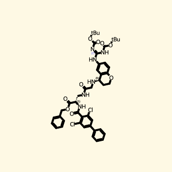 CC(C)(C)OC(=O)/N=C(\NC(=O)OC(C)(C)C)Nc1ccc2c(c1)[C@H](NCC(=O)NC[C@H](NC(=O)c1c(Cl)cc(-c3ccccc3)cc1Cl)C(=O)OCc1ccccc1)CCO2